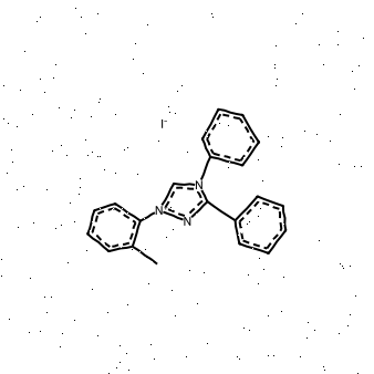 Cc1ccccc1-[n+]1cn(-c2ccccc2)c(-c2ccccc2)n1.[I-]